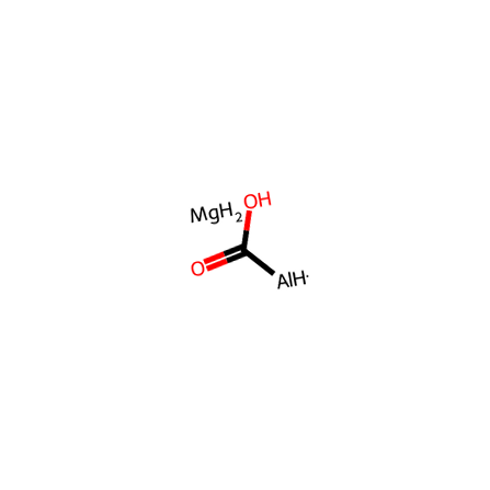 O=[C](O)[AlH].[MgH2]